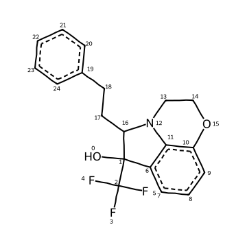 OC1(C(F)(F)F)c2cccc3c2N(CCO3)C1CCc1ccccc1